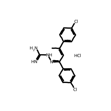 CC(=CC(=NNC(=N)N)c1ccc(Cl)cc1)c1ccc(Cl)cc1.Cl